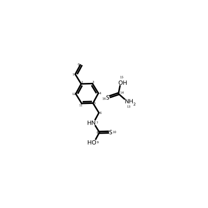 C=Cc1ccc(CNC(O)=S)cc1.NC(O)=S